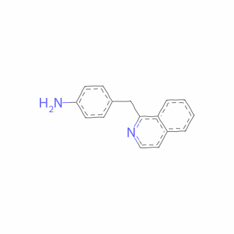 Nc1ccc(Cc2nccc3ccccc23)cc1